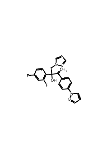 C=C(c1ccc(-n2cccn2)cc1)C(O)(Cn1cncn1)c1ccc(F)cc1F